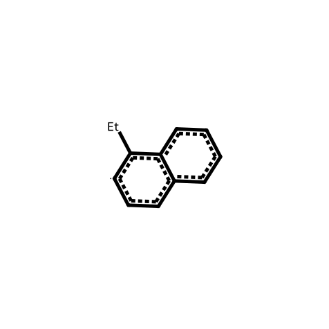 CCc1[c]ccc2ccccc12